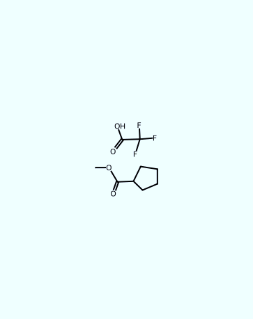 COC(=O)C1CCCC1.O=C(O)C(F)(F)F